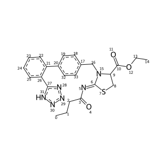 CCCC(=O)N=C1SCC(C(=O)OCC)N1Cc1ccc(-c2ccccc2-c2nnn[nH]2)cc1